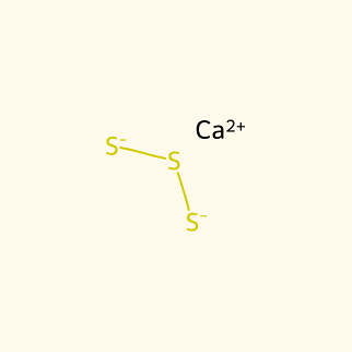 [Ca+2].[S-]S[S-]